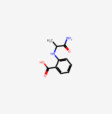 CC(Nc1ccccc1C(=O)O)C(N)=O